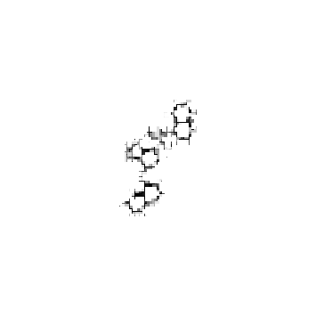 O=S(=O)(Nc1cccc2ccccc12)c1ccc(Sc2cccc3cccnc23)c2nonc12